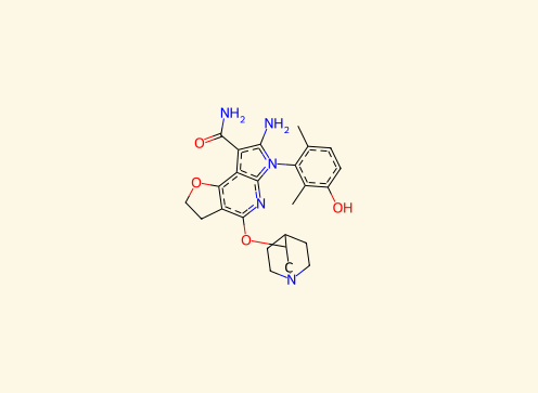 Cc1ccc(O)c(C)c1-n1c(N)c(C(N)=O)c2c3c(c(OC4CN5CCC4CC5)nc21)CCO3